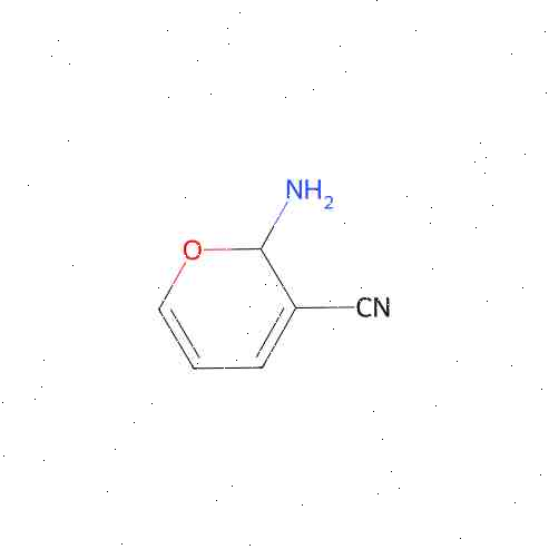 N#CC1=CC=COC1N